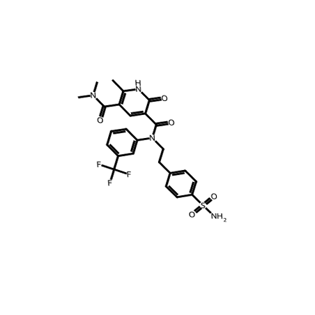 Cc1[nH]c(=O)c(C(=O)N(CCc2ccc(S(N)(=O)=O)cc2)c2cccc(C(F)(F)F)c2)cc1C(=O)N(C)C